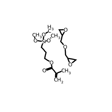 C(OCC1CO1)C1CO1.C=C(C)C(=O)OCCC[Si](OC)(OC)OC